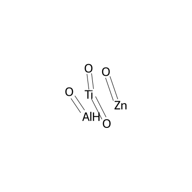 [O]=[AlH].[O]=[Ti]=[O].[O]=[Zn]